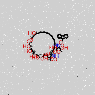 CO[C@]12C[C@@H](O)C[C@@H](O)[C@H](O)CC[C@@H](O)C[C@@H](O)CC(=O)O[C@@H](C)[C@H](C)[C@H](O)[C@@H](C)/C=C/C=C/C=C/C=C/C=C/C=C/C=C/[C@H](O[C@@H]3O[C@H](C)[C@@H](O)[C@H](NC(=O)OCC4c5ccccc5-c5ccccc54)[C@@H]3O)CC(O1)[C@@H]1NC(=O)O[C@H]1C2